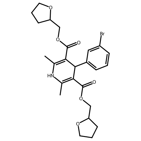 CC1=C(C(=O)OCC2CCCO2)C(c2cccc(Br)c2)C(C(=O)OCC2CCCO2)=C(C)N1